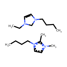 CCCCN1C=CN(CC)C1.CCCCn1cc[n+](C)c1C